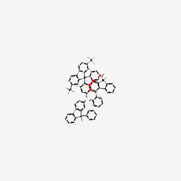 CC(C)(C)c1ccc2c(c1)C1(c3ccccc3-c3cc(N(c4ccc5c(c4)C(C)(c4ccccc4)c4ccccc4-5)c4ccccc4-c4cccc5c4-c4ccccc4C5(C)C)ccc31)c1cc(C(C)(C)C)ccc1-2